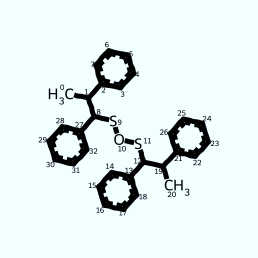 CC(c1ccccc1)C(SOSC(c1ccccc1)C(C)c1ccccc1)c1ccccc1